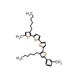 CCCCCCc1cc(C)sc1-c1ccc(-c2ccc(-c3sc(-c4cccc(C)c4)cc3CCCCCC)s2)s1